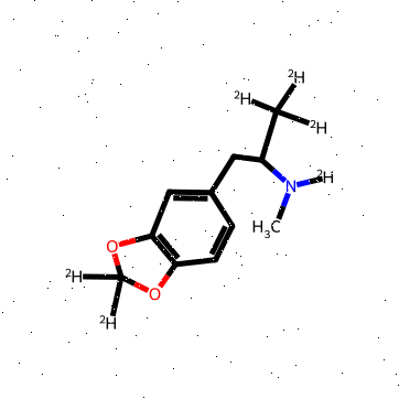 [2H]N(C)C(Cc1ccc2c(c1)OC([2H])([2H])O2)C([2H])([2H])[2H]